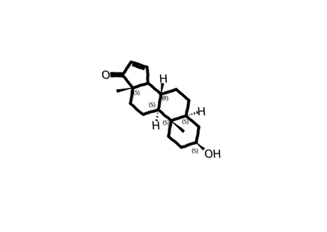 C[C@]12CC[C@H](O)C[C@@H]1CC[C@H]1C3C=CC(=O)[C@@]3(C)CC[C@@H]12